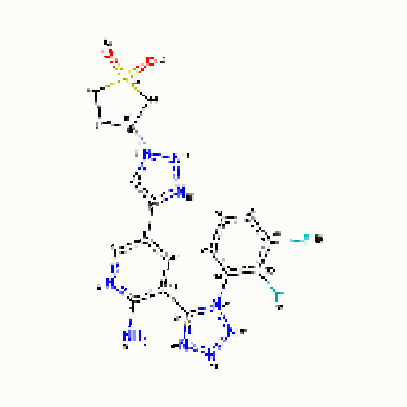 Nc1ncc(-c2cn([C@@H]3CCS(=O)(=O)C3)nn2)cc1-c1nnnn1-c1cccc(F)c1F